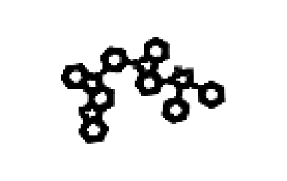 c1ccc(-c2nnn(-c3cccc4c3c3ccccc3n4-c3cccc(-n4c5ccccc5c5c6sc7ccccc7c6ccc54)c3)c2-c2ccccc2)cc1